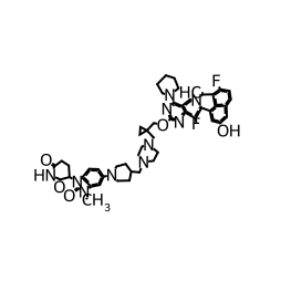 C#Cc1c(F)ccc2cc(O)cc(-c3ncc4c(N5CCCCC5)nc(OCC5(CN6CCN(CC7CCN(c8ccc9c(c8)n(C)c(=O)n9C8CCC(=O)NC8=O)CC7)CC6)CC5)nc4c3F)c12